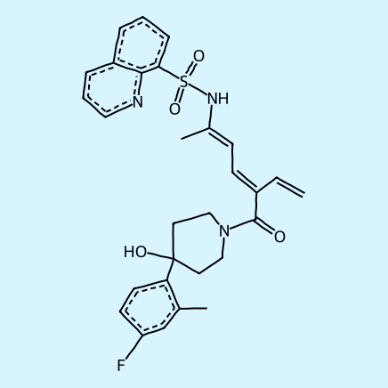 C=C/C(=C\C=C(/C)NS(=O)(=O)c1cccc2cccnc12)C(=O)N1CCC(O)(c2ccc(F)cc2C)CC1